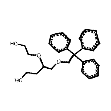 OCCOC(CCO)COCC(c1ccccc1)(c1ccccc1)c1ccccc1